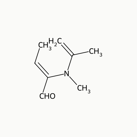 C=C(C)N(C)/C(C=O)=C\C